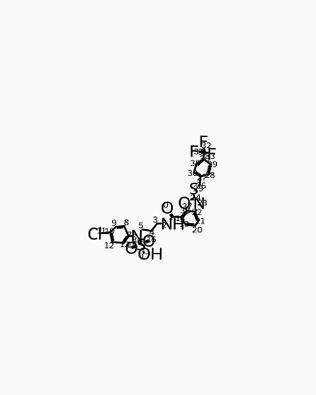 O=C(NCCCN(c1ccc(Cl)cc1)S(=O)(=O)O)c1cccc2nc(SCc3ccc(C(F)(F)F)cc3)oc12